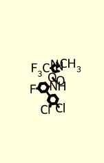 Cn1cc(OC(=O)Nc2ccc(F)cc2-c2ccc(Cl)c(Cl)c2)c(C(F)(F)F)n1